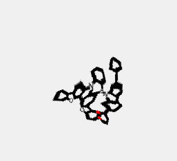 c1ccc(-c2ccc3c4ccc(-c5ccccc5)cc4n(B4c5ccccc5-n5c6ccc7c8ccccc8oc7c6c6c7oc8ccccc8c7cc4c65)c3c2)cc1